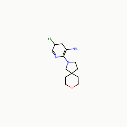 NC1=C(N2CCC3(CCOCC3)C2)N=CC(Cl)C1